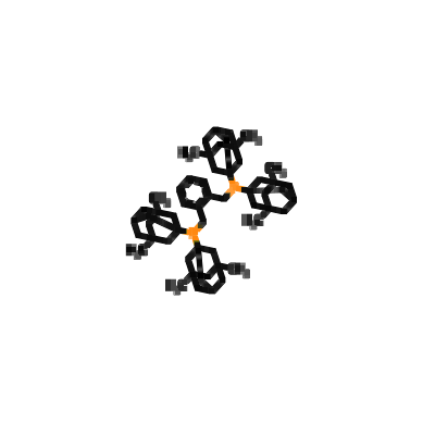 CC12CC3CC(C)(C1)CC(P(Cc1ccccc1CP(C14CC5CC(C)(CC(C)(C5)C1)C4)C14CC5CC(C)(CC(C)(C5)C1)C4)C14CC5CC(C)(CC(C)(C5)C1)C4)(C3)C2